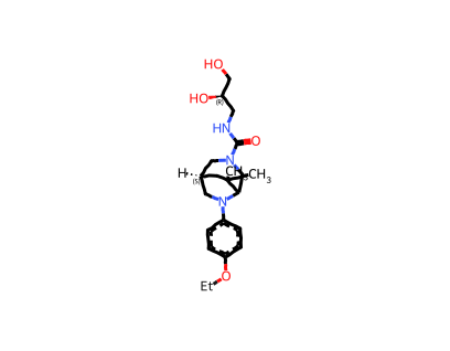 CCOc1ccc(N2C[C@H]3CN(C(=O)NC[C@@H](O)CO)CC2C(C)(C)C3)cc1